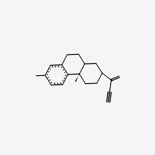 C#CC(=O)[C@@]1(C)CC[C@@H]2c3ccc(O)cc3CC[C@H]2C1